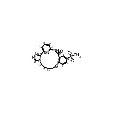 CS(=O)(=O)c1ccc2c(c1)C(=O)Nc1cccc(n1)-c1nncn1CCCCO2